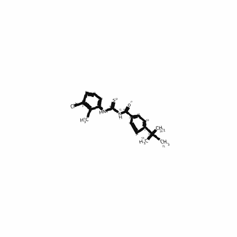 Cc1c(Cl)cccc1NC(=S)NC(=O)c1ccc(C(C)(C)C)cc1